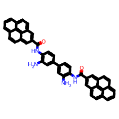 Nc1cc(-c2ccc(NC(=O)c3cc4ccc5cccc6ccc(c3)c4c56)c(N)c2)ccc1NC(=O)c1cc2ccc3cccc4ccc(c1)c2c34